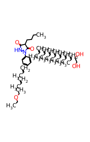 C=CC.C=CC.C=CC.C=CC.C=CC.C=CC.C=CC.C=CC.C=CC.CCCCC1C(=O)NN(c2ccccc2)C1=O.CCOCC.OCCO